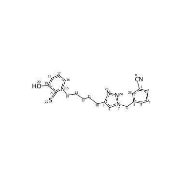 N#Cc1cccc(Cn2cc(CCCCCn3cccc(O)c3=S)nn2)c1